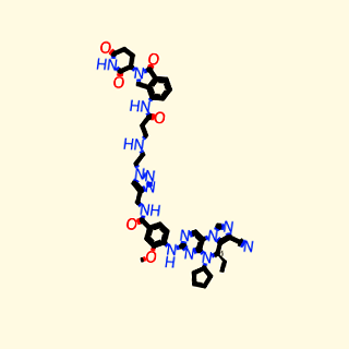 CC[C@@H]1c2c(C#N)ncn2-c2cnc(Nc3ccc(C(=O)NCc4cn(CCNCCC(=O)Nc5cccc6c5CN(C5CCC(=O)NC5=O)C6=O)nn4)cc3OC)nc2N1C1CCCC1